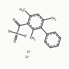 Cc1cc(C)c(-c2ccccc2)c(C)c1C(=O)P(=O)([O-])[O-].[Li+].[Li+]